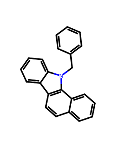 c1ccc(Cn2c3ccccc3c3ccc4ccccc4c32)cc1